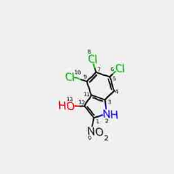 O=[N+]([O-])c1[nH]c2cc(Cl)c(Cl)c(Cl)c2c1O